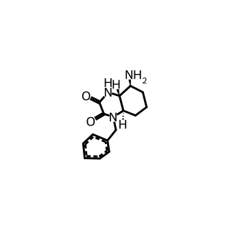 N[C@H]1CCC[C@@H]2[C@@H]1NC(=O)C(=O)N2Cc1ccccc1